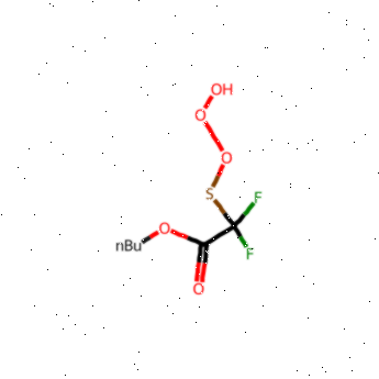 CCCCOC(=O)C(F)(F)SOOO